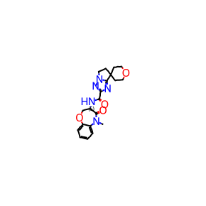 CN1C(=O)[C@@H](NC(=O)c2nc3n(n2)CCC32CCOCC2)COc2ccccc21